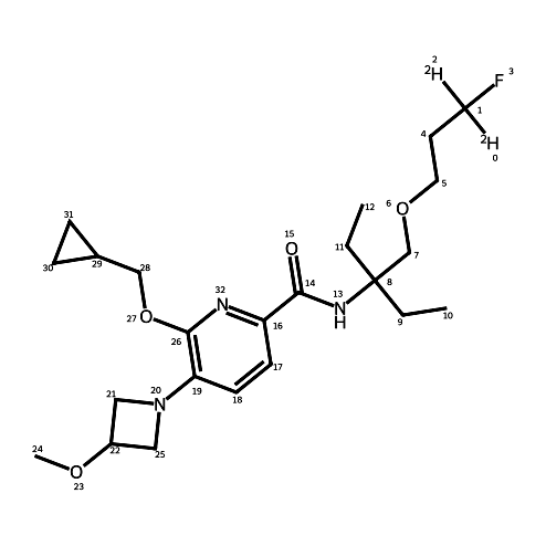 [2H]C([2H])(F)CCOCC(CC)(CC)NC(=O)c1ccc(N2CC(OC)C2)c(OCC2CC2)n1